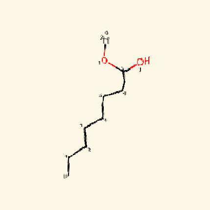 [2H]OC(O)CCCCCCC